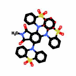 CN1C(=O)c2c(N3c4ccccc4S(=O)(=O)c4ccccc43)cc(N3c4ccccc4S(=O)(=O)c4ccccc43)c(N3c4ccccc4S(=O)(=O)c4ccccc43)c2C1=O